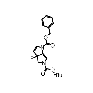 CC(C)(C)OC(=O)N1C=C2N(C(=O)OCc3ccccc3)C=CC2(F)C1